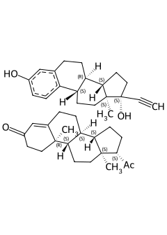 C#C[C@]1(O)CC[C@H]2[C@@H]3CCc4cc(O)ccc4[C@H]3CC[C@@]21C.CC(=O)[C@H]1CC[C@H]2[C@@H]3CCC4=CC(=O)CC[C@]4(C)[C@H]3CC[C@]12C